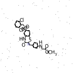 COC(=O)CNc1ccc(/C=C2\Sc3ccc(S(=O)(=O)Cc4c(Cl)cccc4Cl)cc3NC2=O)cc1